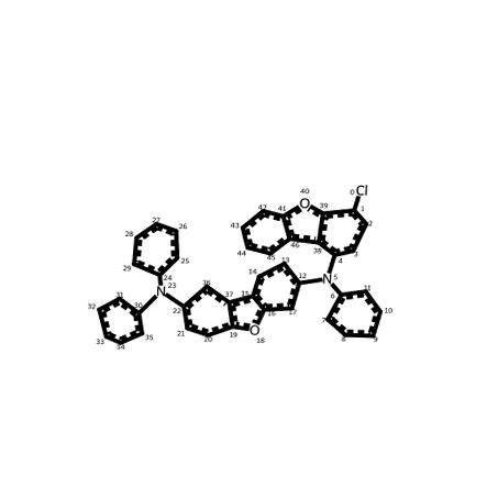 Clc1ccc(N(c2ccccc2)c2ccc3c(c2)oc2ccc(N(c4ccccc4)c4ccccc4)cc23)c2c1oc1ccccc12